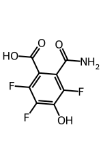 NC(=O)c1c(F)c(O)c(F)c(F)c1C(=O)O